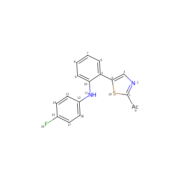 CC(=O)c1ncc(-c2ccccc2Nc2ccc(F)cc2)s1